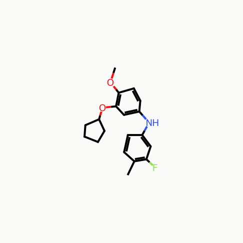 COc1ccc(Nc2ccc(C)c(F)c2)cc1OC1CCCC1